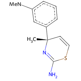 CNc1cccc([C@]2(C)C=CSC(N)=N2)c1